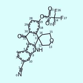 N#Cc1ccc2c3c([nH]c2c1)C1(CCOCC1)c1cc(OS(=O)(=O)C(F)(F)F)ccc1C3=O